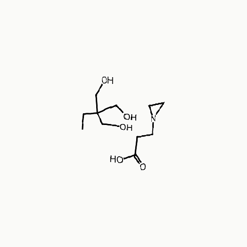 CCC(CO)(CO)CO.O=C(O)CCN1CC1